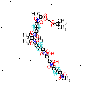 Cc1cc(C)cc(C(=O)OCCCCOC(=O)c2cc(C)cc(N3C(=O)c4ccc(C(c5ccc6c(c5)C(=O)N(c5c(C)cc(C)c(N7C(=O)c8ccc(C(c9ccc%10c(c9)C(=O)N(c9ccc(-c%11ccc(N%12C(=O)c%13ccc(C(c%14ccc%15c(c%14)C(=O)N(C)C%15=O)(C(F)(F)F)C(F)(F)F)cc%13C%12=O)c(O)c%11)cc9O)C%10=O)(C(F)(F)F)C(F)(F)F)cc8C7=O)c5C)C6=O)(C(F)(F)F)C(F)(F)F)cc4C3=O)c2)c1